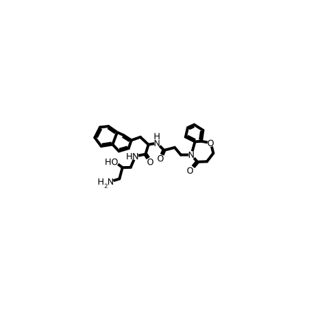 NCC(O)CNC(=O)C(Cc1ccc2ccccc2c1)NC(=O)CCN1C(=O)CCOc2ccccc21